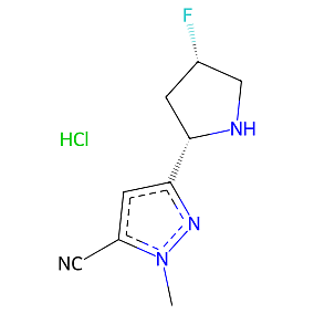 Cl.Cn1nc([C@@H]2C[C@H](F)CN2)cc1C#N